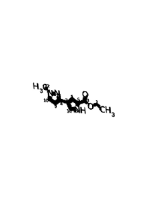 CCOC(=O)c1cc(-c2ccn(C)n2)c[nH]1